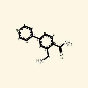 CCc1cc(-c2ccncc2)ccc1C(N)=O